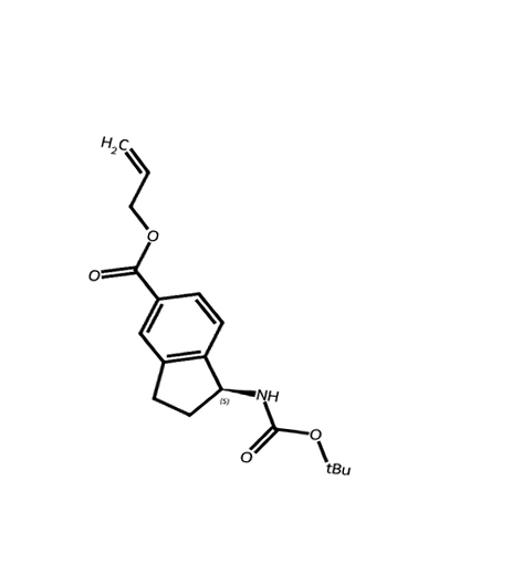 C=CCOC(=O)c1ccc2c(c1)CC[C@@H]2NC(=O)OC(C)(C)C